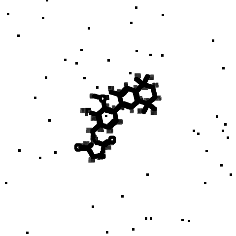 COc1c(-c2cc3c(cc2C)C(C)(C)CCC3(C)C)ccc(CN2C(=O)CSC2=O)c1F